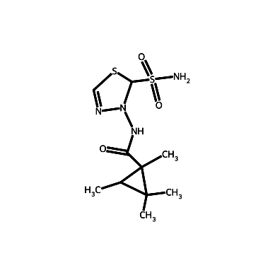 CC1C(C)(C)C1(C)C(=O)NN1N=CSC1S(N)(=O)=O